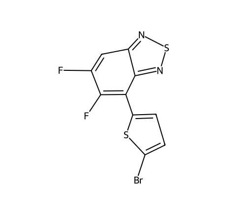 Fc1cc2nsnc2c(-c2ccc(Br)s2)c1F